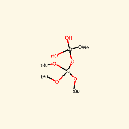 C[O][Zr]([OH])([OH])[O][Si](OC(C)(C)C)(OC(C)(C)C)OC(C)(C)C